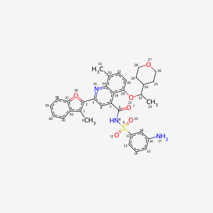 Cc1c(-c2cc(C(=O)NS(=O)(=O)c3cccc(N)c3)c3c(OC(C)C4CCOCC4)ccc(C)c3n2)oc2ccccc12